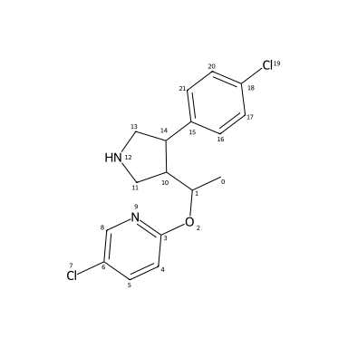 CC(Oc1ccc(Cl)cn1)C1CNCC1c1ccc(Cl)cc1